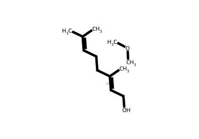 CC(C)=CCC/C(C)=C/CO.COC